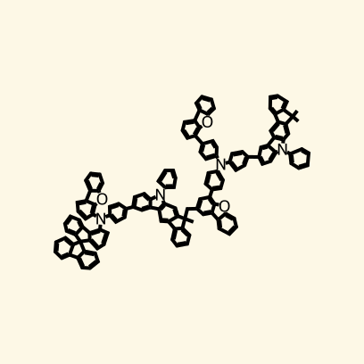 CC1(C)c2ccccc2-c2cc3c4cc(-c5ccc(N(c6ccc(-c7cccc8c7oc7ccccc78)cc6)c6ccc(-c7cc(CC8(C)c9ccccc9-c9cc%10c%11cc(-c%12ccc(N(c%13cccc%14c%13-c%13ccccc%13C%14%13c%14ccccc%14-c%14ccccc%14%13)c%13cccc%14c%13oc%13ccccc%13%14)cc%12)ccc%11n(-c%11ccccc%11)c%10cc98)cc8c7oc7ccccc78)cc6)cc5)ccc4n(-c4ccccc4)c3cc21